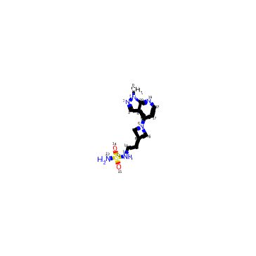 Cn1ncc2c(N3CC(CCNS(N)(=O)=O)C3)ccnc21